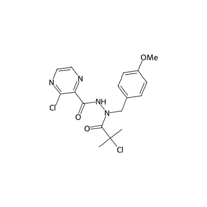 COc1ccc(CN(NC(=O)c2nccnc2Cl)C(=O)C(C)(C)Cl)cc1